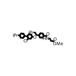 COC(=O)CCNC(=O)c1ccc(C(CC(C)C)Oc2ccc(-c3ccc(C(C)C)cc3)c(Cl)c2)cc1